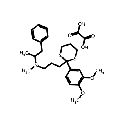 COc1ccc(C2(CCCN(C)C(C)Cc3ccccc3)SCCCS2)cc1OC.O=C(O)C(=O)O